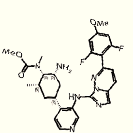 COC(=O)N(C)[C@@H]1[C@H](N)C[C@H](c2ccncc2Nc2ncc3ccc(-c4c(F)cc(OC)cc4F)nn23)C[C@@H]1C